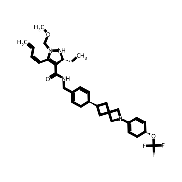 C=C/C=C\C1=C(C(=O)NCC2=CC[C@H](C3CC4(C3)CN(C3=CC[C@@H](OC(F)(F)F)C=C3)C4)C=C2)[C@@H](CC)NN1COC